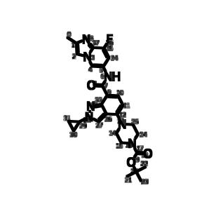 Cc1cn2cc(NC(=O)c3ccc(N4CCN(C(=O)OC(C)(C)C)CC4)c4cn(C5CC5)nc34)cc(F)c2n1